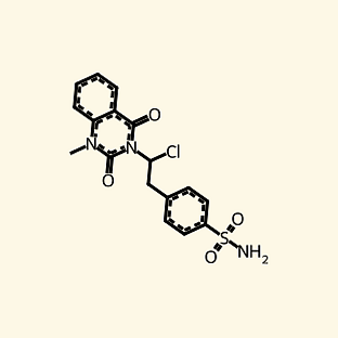 Cn1c(=O)n(C(Cl)Cc2ccc(S(N)(=O)=O)cc2)c(=O)c2ccccc21